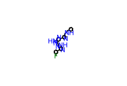 Fc1cccc(-c2cncc3[nH]c(-c4n[nH]c5cnc(-c6cncc(CNCc7ccccc7)c6)cc45)nc23)c1